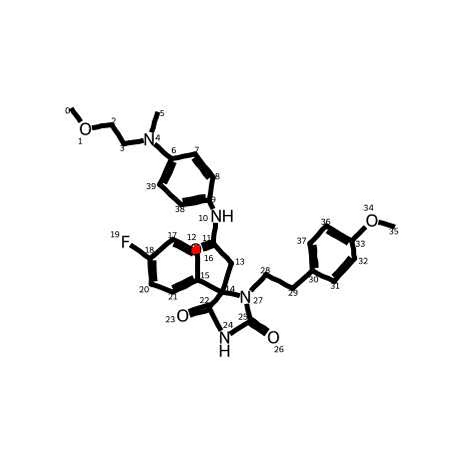 COCCN(C)c1ccc(NC(=O)CC2(c3ccc(F)cc3)C(=O)NC(=O)N2CCc2ccc(OC)cc2)cc1